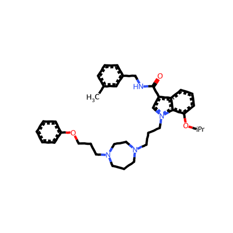 Cc1cccc(CNC(=O)c2cn(CCCN3CCCN(CCCOc4ccccc4)CC3)c3c(OC(C)C)cccc23)c1